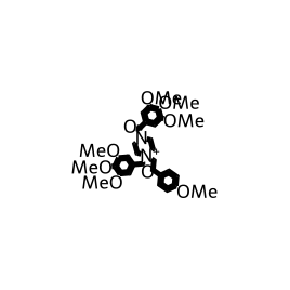 COc1ccc(CC[N+]2(C(=O)c3cc(OC)c(OC)c(OC)c3)CCN(C(=O)c3cc(OC)c(OC)c(OC)c3)CC2)cc1